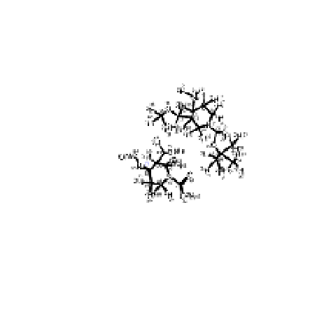 [2H]N([2H])C1([2H])C([2H])([2H])C([2H])([2H])N(C(=O)OC(C([2H])([2H])[2H])(C([2H])([2H])[2H])C([2H])([2H])[2H])C([2H])([2H])C1([2H])C([2H])([2H])OC([2H])([2H])[2H].[2H]OC(=O)N1C([2H])([2H])C([2H])([2H])/C(=N/OC)C([2H])(C([2H])OC)C1([2H])C(C)(C)C